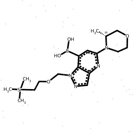 C[C@@H]1COCCN1c1cc(B(O)O)c2c(cnn2COCC[Si](C)(C)C)n1